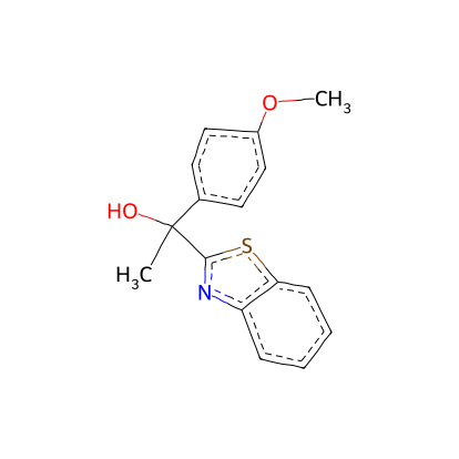 COc1ccc(C(C)(O)c2nc3ccccc3s2)cc1